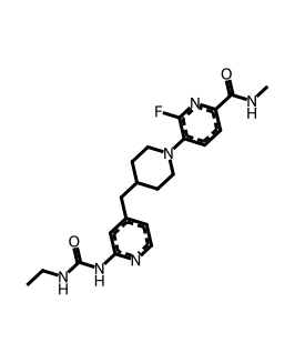 CCNC(=O)Nc1cc(CC2CCN(c3ccc(C(=O)NC)nc3F)CC2)ccn1